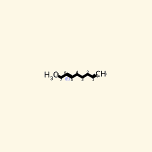 [CH]=CCCC/C=C/CC